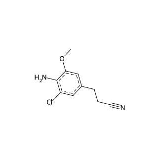 COc1cc(CCC#N)cc(Cl)c1N